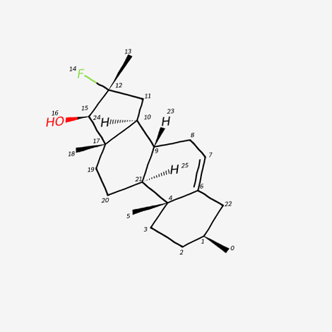 C[C@H]1CC[C@@]2(C)C(=CC[C@H]3[C@@H]4C[C@@](C)(F)[C@H](O)[C@@]4(C)CC[C@@H]32)C1